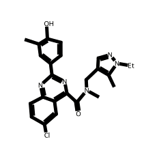 CCn1ncc(CN(C)C(=O)c2nc(-c3ccc(O)c(C)c3)nc3ccc(Cl)cc23)c1C